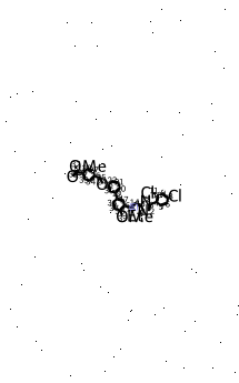 CCn1cc(-c2ccc(Cl)cc2Cl)nc1/C=C/c1cc(-c2cccc(OCc3ccc(C(=O)OC)cc3)c2)ccc1OC